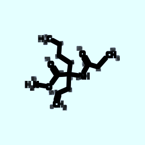 C=CCC(CCCC)(NC(=O)CC)C(=O)ON